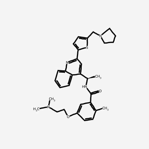 Cc1ccc(OCCN(C)C)cc1C(=O)N[C@H](C)c1cc(-c2ccc(CN3CCCC3)s2)nc2ccccc12